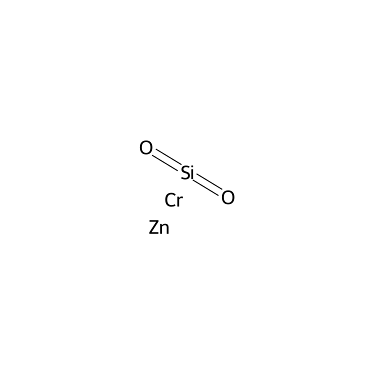 O=[Si]=O.[Cr].[Zn]